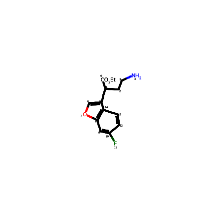 CCOC(=O)C(CCN)c1coc2cc(F)ccc12